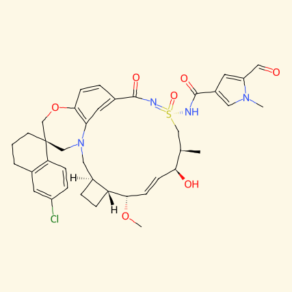 CO[C@H]1/C=C/[C@H](O)[C@H](C)C[S@@](=O)(NC(=O)c2cc(C=O)n(C)c2)=NC(=O)c2ccc3c(c2)N(C[C@@H]2CC[C@H]21)C[C@@]1(CCCc2cc(Cl)ccc21)CO3